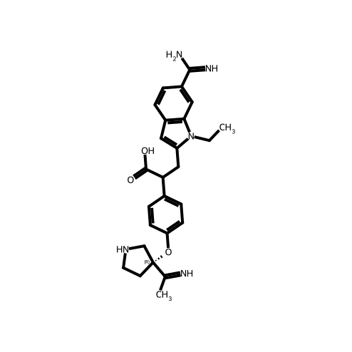 CCn1c(CC(C(=O)O)c2ccc(O[C@]3(C(C)=N)CCNC3)cc2)cc2ccc(C(=N)N)cc21